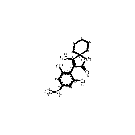 O=C1NC2(CCCCC2)C(O)=C1c1c(Cl)cc(OC(F)(F)F)cc1Cl